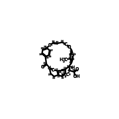 Cc1cc2ncc1[C@H]([C@@H](C)C(=O)O)c1ccc3c(c1)CN(CC3)C(=O)c1ccc(cc1)C/C=C/CCO2